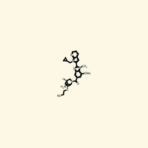 COc1cc(C(=O)N2C[C@H]3C[C@H](OCCC#N)C2C3N)cc2nc(-c3cc4cccnc4n3CC3CC3)n(C)c12